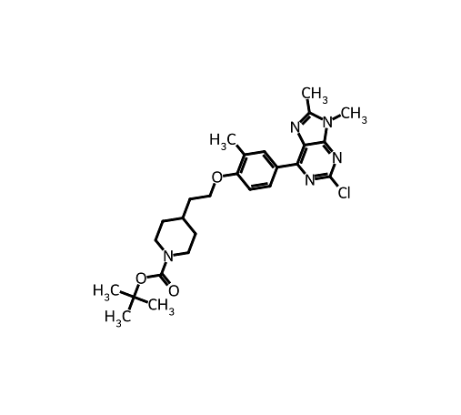 Cc1cc(-c2nc(Cl)nc3c2nc(C)n3C)ccc1OCCC1CCN(C(=O)OC(C)(C)C)CC1